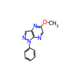 COc1cnc2c(cnn2-c2ccccc2)n1